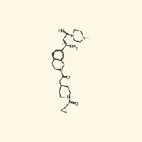 CN1CCN(C(=N)/C=C(\N)c2ccc3c(c2)CN(C(=O)CC2CCN(C(=O)C4CC4)CC2)CC3)CC1